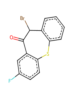 O=C1c2cc(F)ccc2Sc2ccccc2C1Br